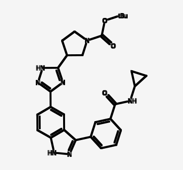 CC(C)(C)OC(=O)N1CCC(c2nc(-c3ccc4[nH]nc(-c5cccc(C(=O)NC6CC6)c5)c4c3)n[nH]2)C1